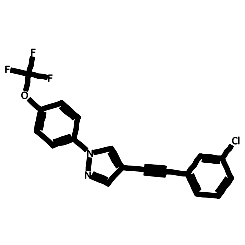 FC(F)(F)Oc1ccc(-n2cc(C#Cc3cccc(Cl)c3)cn2)cc1